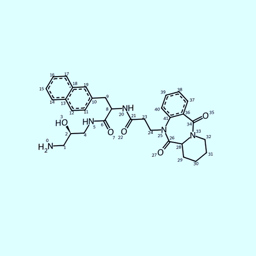 NC[C@@H](O)CNC(=O)C(Cc1ccc2ccccc2c1)NC(=O)CCN1C(=O)C2CCCCN2C(=O)c2ccccc21